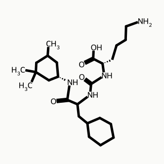 CC1C[C@H](NC(=O)C(CC2CCCCC2)NC(=O)N[C@@H](CCCCN)C(=O)O)CC(C)(C)C1